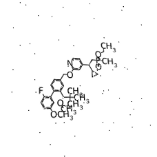 CCOP(C)(=O)C[C@H](c1ccnc(OCc2ccc(-c3cc(OC)ccc3F)c([C@@H](OC)C(C)(C)C)c2)c1)C1CC1